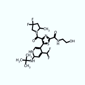 CC1CC(F)(F)CN1C(=O)c1nc(C(=O)NCCO)sc1C1=CNC(NC(C)(C)C)C=C1C(F)F